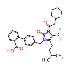 CC(C)CCc1c(C(F)F)n(C(=O)CC2CCCCC2)c(=O)n1Cc1ccc(-c2ccccc2C(=O)O)cc1